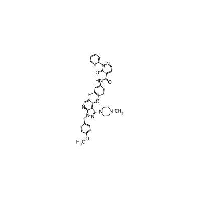 COc1ccc(Cn2nc(N3CCN(C)CC3)c3c(Oc4ccc(NC(=O)c5ccnn(-c6ccccn6)c5=O)cc4F)ccnc32)cc1